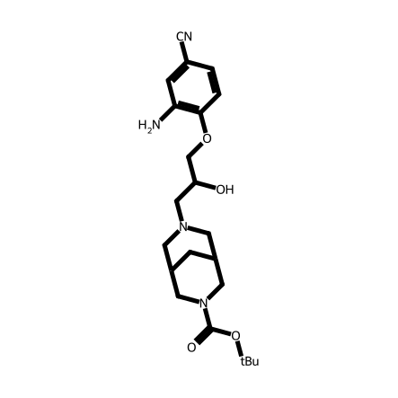 CC(C)(C)OC(=O)N1CC2CC(CN(CC(O)COc3ccc(C#N)cc3N)C2)C1